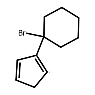 BrC1(C2=[C]CC=C2)CCCCC1